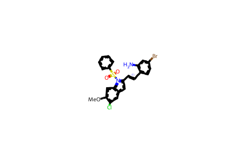 COc1cc2c(cc1Cl)cc(/C=C/c1ccc(Br)cc1N)n2S(=O)(=O)c1ccccc1